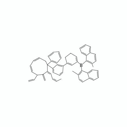 C=CC1/C=C\C=C/CC(c2ccccc2)(c2cccc(C3=CC(B(c4c(C)ccc5ccccc45)c4c(C)ccc5ccccc45)=CCC3)c2)/C(=C/C=C\C)C1=C